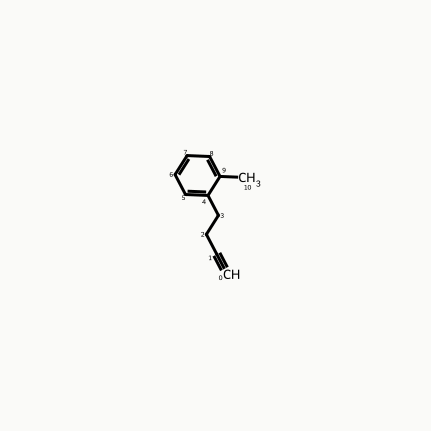 C#CCCc1ccccc1C